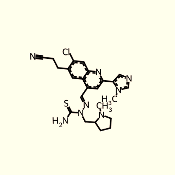 CN1CCCC1CN(/N=C/c1cc(-c2cncn2C)nc2cc(Cl)c(CCC#N)cc12)C(N)=S